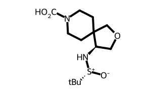 CC(C)(C)[S@@+]([O-])N[C@@H]1COCC12CCN(C(=O)O)CC2